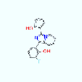 Oc1ccccc1-c1nc(-c2cccc(F)c2O)c2ccccn12